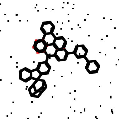 c1ccc(-c2cccc(-c3ccc(N(c4ccc5c(c4)-c4ccccc4C54C5CC6CC(C5)CC4C6)c4ccccc4-c4ccccc4-c4ccccc4-c4ccccc4)cc3)c2)cc1